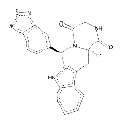 O=C1NCC(=O)N2[C@H](c3ccc4nsnc4c3)c3[nH]c4ccccc4c3C[C@H]12